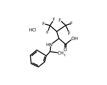 CC(NC(C(=O)O)C(C(F)(F)F)C(F)(F)F)c1ccccc1.Cl